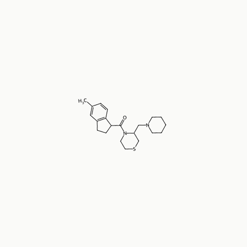 Cc1ccc2c(c1)CCC2C(=O)N1CCSCC1CN1CCCCC1